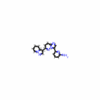 Nc1cccc(-c2cnc3ccc(-c4cnn5ccccc45)nn23)n1